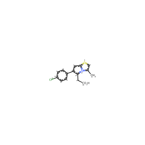 Cc1csc2cc(-c3ccc(Cl)cc3)c(CC(=O)O)n12